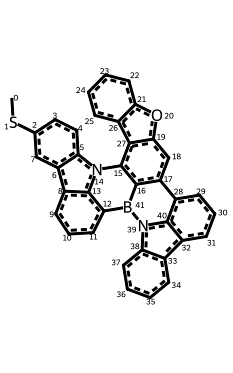 CSc1ccc2c(c1)c1cccc3c1n2-c1c2c(cc4oc5ccccc5c14)-c1cccc4c5ccccc5n(c14)B23